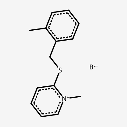 Cc1ccccc1CSc1cccc[n+]1C.[Br-]